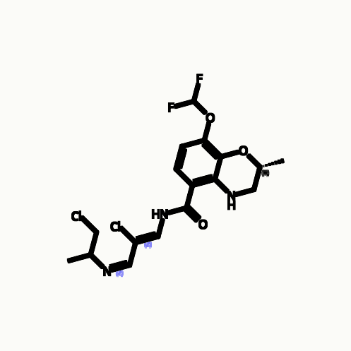 CC(CCl)/N=C\C(Cl)=C\NC(=O)c1ccc(OC(F)F)c2c1NC[C@@H](C)O2